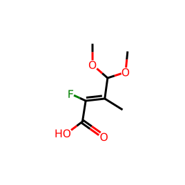 COC(OC)/C(C)=C(\F)C(=O)O